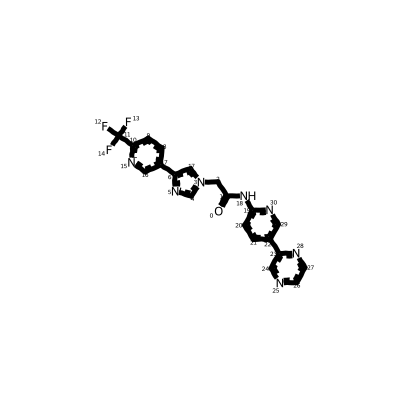 O=C(Cn1cnc(-c2ccc(C(F)(F)F)nc2)c1)Nc1ccc(-c2cnccn2)cn1